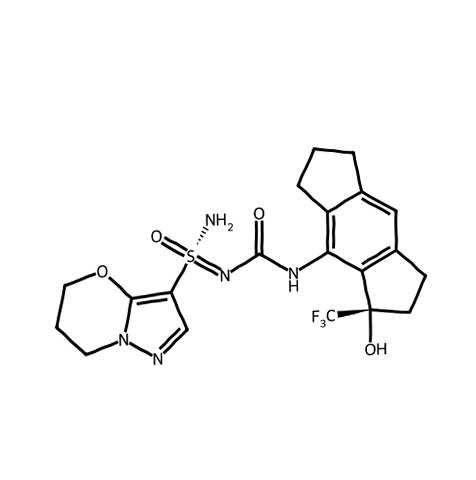 N[S@](=O)(=NC(=O)Nc1c2c(cc3c1[C@](O)(C(F)(F)F)CC3)CCC2)c1cnn2c1OCCC2